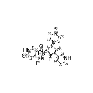 CC1CN(c2cc(NC(=O)c3c[nH]c(=O)cc3C(F)F)c(F)c(C3=CCCNC3)c2F)CCN1C